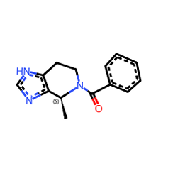 C[C@H]1c2nc[nH]c2CCN1C(=O)c1ccccc1